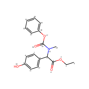 CCOC(=O)C(c1ccc(O)cc1)N(C)C(=O)Oc1ccccc1